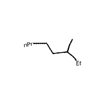 [CH]CC(C)CCCC[CH2]